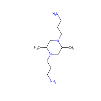 CC1CN(CCCN)C(C)CN1CCCN